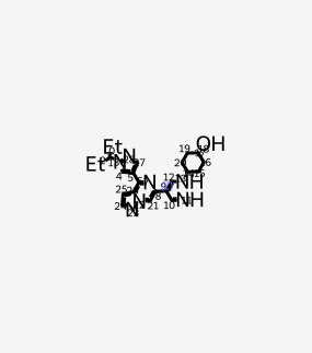 CCC(CC)n1cc(-c2nc(/C(C=N)=C/NC3CCC(O)CC3)cn3nccc23)cn1